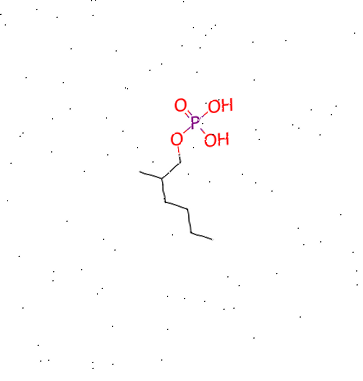 CCCCC(C)COP(=O)(O)O